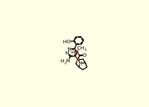 CNC(=O)CN1C2CCC1CN(c1cc(-c3ccccc3O)nnc1N)C2